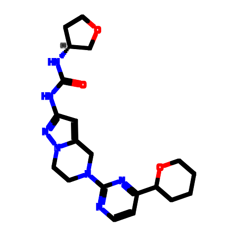 O=C(Nc1cc2n(n1)CCN(c1nccc(C3CCCCO3)n1)C2)N[C@@H]1CCOC1